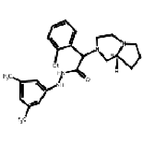 CCc1ccccc1C(C(=O)NNc1cc(C(F)(F)F)cc(C(F)(F)F)c1)N1CCN2CCC[C@@H]2C1